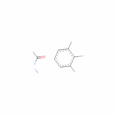 CNC(C)=O.Cc1cccc(C)c1N